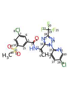 C=C(NC(=O)c1cc(Cl)cc(S(C)(=O)=O)c1)c1nc(C(F)(F)F)nn1-c1ccc(Cl)cn1